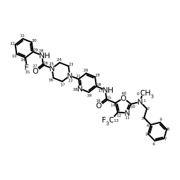 CN(CCc1ccccc1)c1nc(C(F)(F)F)c(C(=O)Nc2ccc(N3CCN(C(=O)Nc4ccccc4F)CC3)nc2)o1